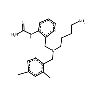 Cc1cnc(CN(CCCCN)Cc2ncccc2NC(N)=O)c(C)c1